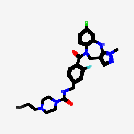 Cn1ncc2c1Nc1cc(Cl)ccc1N(C(=O)c1ccc(CNC(=O)N3CCN(CCC(C)(C)C)CC3)cc1F)C2